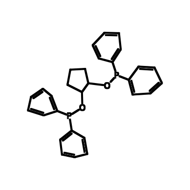 c1ccc(P(OC2CCCC2OP(c2ccccc2)c2ccccc2)c2ccccc2)cc1